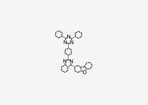 c1ccc(-c2nc(-c3ccccc3)nc(-c3ccc(-c4nc(-c5ccc6oc7ccccc7c6c5)c5ccccc5n4)cc3)n2)cc1